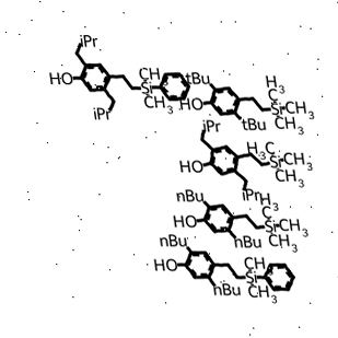 CC(C)(C)c1cc(CC[Si](C)(C)C)c(C(C)(C)C)cc1O.CC(C)Cc1cc(CC[Si](C)(C)C)c(CC(C)C)cc1O.CC(C)Cc1cc(CC[Si](C)(C)c2ccccc2)c(CC(C)C)cc1O.CCCCc1cc(CC[Si](C)(C)C)c(CCCC)cc1O.CCCCc1cc(CC[Si](C)(C)c2ccccc2)c(CCCC)cc1O